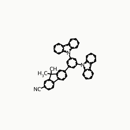 CC1(C)c2cc(C#N)ccc2-c2ccc(-c3cc(-n4c5ccccc5c5ccccc54)cc(-n4c5ccccc5c5ccccc54)c3)cc21